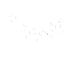 CN(C(=S)N(c1ccc(C(=O)NCCc2ccccc2)c(F)c1)C1(C=O)CCC1)c1cnc(C#N)c(C(F)(F)F)c1